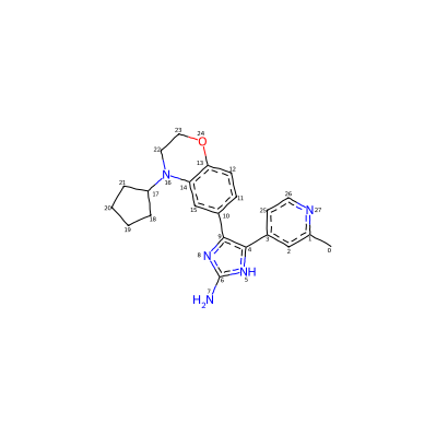 Cc1cc(-c2[nH]c(N)nc2-c2ccc3c(c2)N(C2CCCC2)CCO3)ccn1